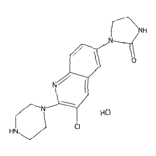 Cl.O=C1NCCN1c1ccc2nc(N3CCNCC3)c(Cl)cc2c1